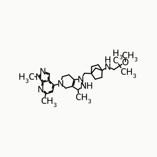 COC(C)(C)CNC12CCC(CN3NC(C)C4=C3CCN(c3cc(C)nc5c3cnn5C)C4)(CC1)C2